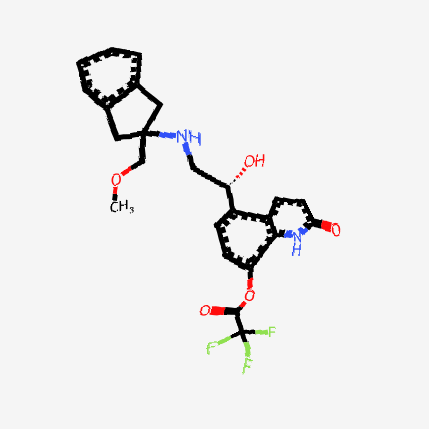 COCC1(NC[C@H](O)c2ccc(OC(=O)C(F)(F)F)c3[nH]c(=O)ccc23)Cc2ccccc2C1